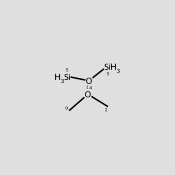 COC.[SiH3]O[SiH3]